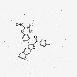 CCN(CC)C(C=O)Oc1ccc(-c2c(C(=O)c3ccc(C)cc3)oc3cc4c(cc23)CC=CO4)cc1